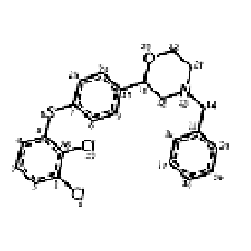 Clc1cccc(Sc2ccc(C3CN(Cc4ccccc4)CCO3)cc2)c1Cl